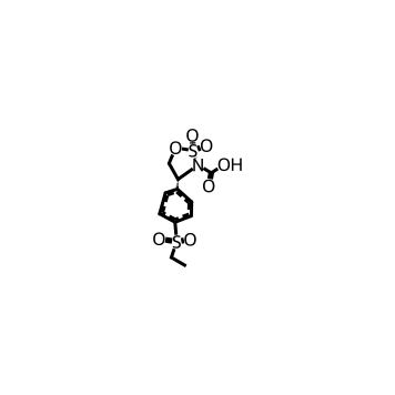 CCS(=O)(=O)c1ccc([C@@H]2COS(=O)(=O)N2C(=O)O)cc1